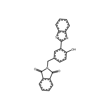 O=C1c2ccccc2C(=O)N1Cc1ccc(O)c(-c2nc3ccccc3s2)c1